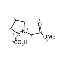 COC(=O)CN1CCC[C@H]1C(=O)O